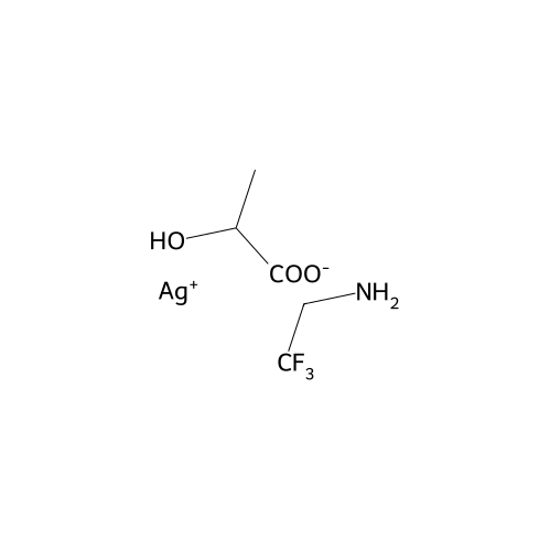 CC(O)C(=O)[O-].NCC(F)(F)F.[Ag+]